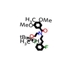 COc1cc(C(=O)N(CCCc2c(F)cccc2F)CCO[Si](C)(C)C(C)(C)C)cc(OC)c1C